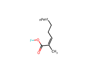 CCCCCCCC=C(C)C(=O)OF